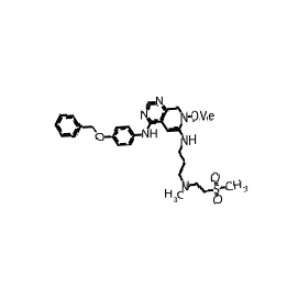 CON1Cc2ncnc(Nc3ccc(OCc4ccccc4)cc3)c2C=C1NCCCN(C)CCS(C)(=O)=O